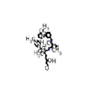 C/C(=C\c1ccc(C)c(N2CCCC2=O)c1)[C@@H](C=O)[C@@H](C)/C=C/[C@H](OC(=O)N1CCN(C)CC1)[C@@H](C)CC[C@@H](O)CC=O